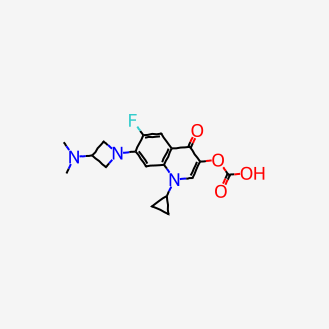 CN(C)C1CN(c2cc3c(cc2F)c(=O)c(OC(=O)O)cn3C2CC2)C1